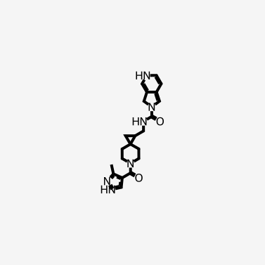 Cc1n[nH]cc1C(=O)N1CCC2(CC1)CC2CNC(=O)N1C=C2C=CNC=C2C1